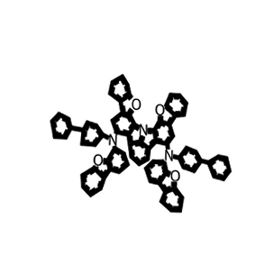 c1ccc(-c2ccc(N(c3cccc4c3oc3ccccc34)c3cc4c5ccccc5oc4c4c3c3cccc5c6c(N(c7ccc(-c8ccccc8)cc7)c7cccc8c7oc7ccccc78)cc7c8ccccc8oc7c6n4c35)cc2)cc1